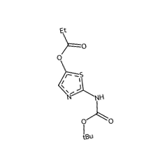 CCC(=O)Oc1cnc(NC(=O)OC(C)(C)C)s1